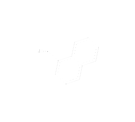 CCCCCCc1cccc2ccc[c]c12